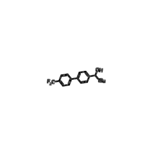 CC(C)(C)C(O)c1ccc(-c2ccc(C(F)(F)F)cc2)cc1